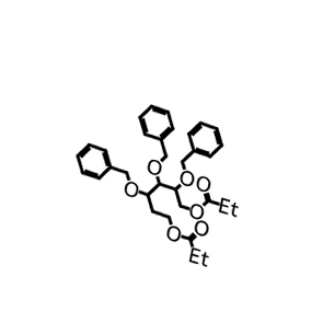 CCC(=O)OCCC(OCc1ccccc1)C(OCc1ccccc1)C(COC(=O)CC)OCc1ccccc1